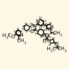 COc1ccc([C@H]2CC[C@H](CN(c3cc(-c4cnn(C(C)C)c4)ccn3)C(=O)[C@H]3CC[C@H](OC(=O)N4CC(OC(C)C)C4)CC3)CC2)nc1C